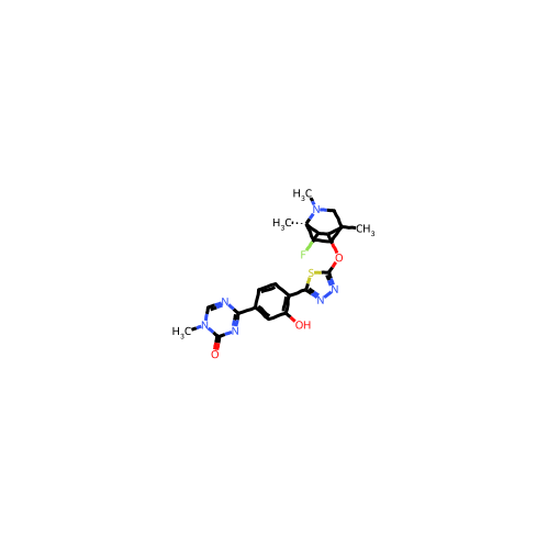 CN1CC2(C)CC[C@]1(C)C(F)C2Oc1nnc(-c2ccc(-c3ncn(C)c(=O)n3)cc2O)s1